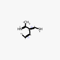 CC(=N)C(/C=C\I)=C/S